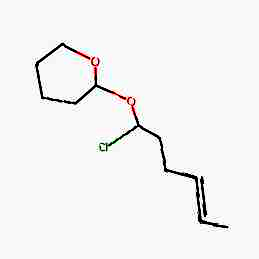 CC=CCCC(Cl)OC1CCCCO1